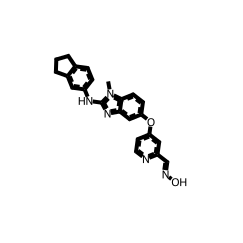 Cn1c(Nc2ccc3c(c2)CCC3)nc2cc(Oc3ccnc(C=NO)c3)ccc21